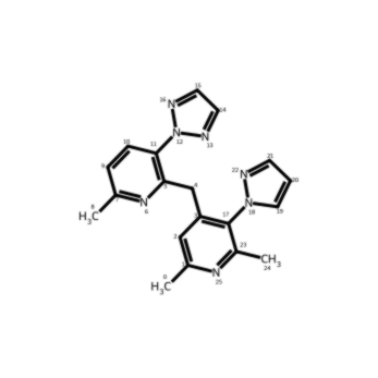 Cc1cc(Cc2nc(C)ccc2-n2nccn2)c(-n2cccn2)c(C)n1